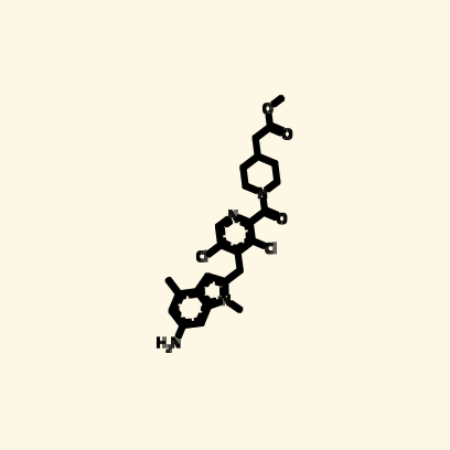 COC(=O)CC1CCN(C(=O)c2ncc(Cl)c(Cc3cc4c(C)cc(N)cc4n3C)c2Cl)CC1